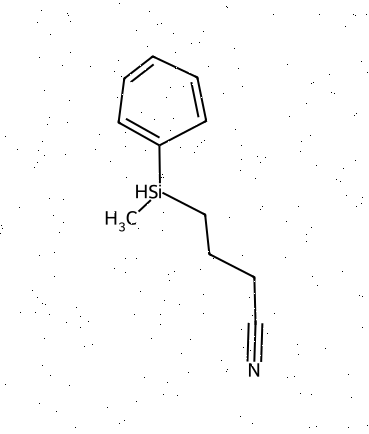 C[SiH](CCCC#N)c1ccccc1